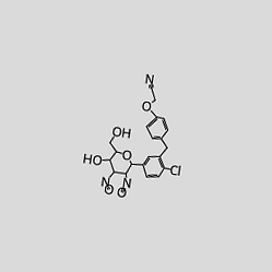 N#CCOc1ccc(Cc2cc(C3OC(CO)C(O)C(N=O)C3N=O)ccc2Cl)cc1